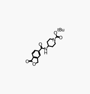 CC(C)(C)OC(=O)N1CCC(NC(=O)c2ccc3c(c2)COC3=O)CC1